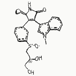 Cn1cc(C2=C(c3cccc([S+]([O-])C[C@@H](O)CO)c3)C(=O)NC2=O)c2ccccc21